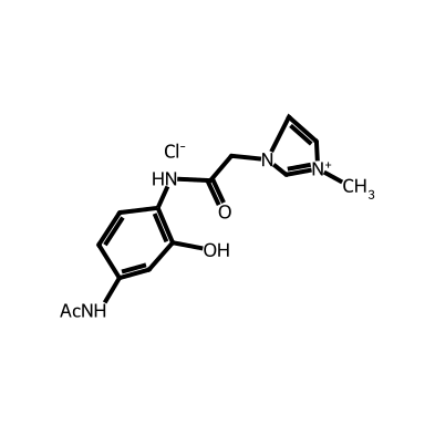 CC(=O)Nc1ccc(NC(=O)Cn2cc[n+](C)c2)c(O)c1.[Cl-]